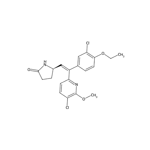 CCOc1ccc(C(=C[C@H]2CCC(=O)N2)c2ccc(Cl)c(OC)n2)cc1Cl